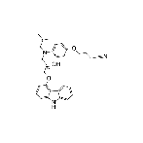 CC(C)CN(C[C@H](O)COc1cccc2[nH]c3ccccc3c12)c1ccc(OCCCC#N)cc1